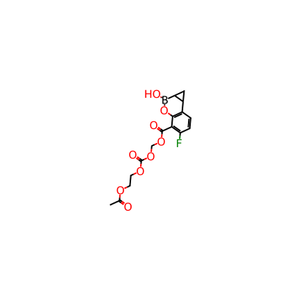 CC(=O)OCCOC(=O)OCOC(=O)c1c(F)ccc2c1OB(O)C1CC21